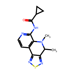 CC1c2nsnc2-c2ccnc(NC(=O)C3CC3)c2N1C